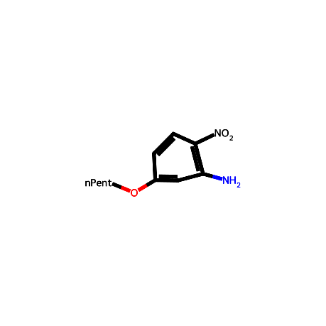 CCCCCOc1ccc([N+](=O)[O-])c(N)c1